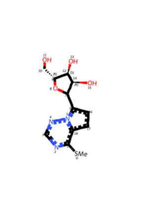 CSc1ncnn2c(C3O[C@H](CO)[C@@H](O)[C@H]3O)ccc12